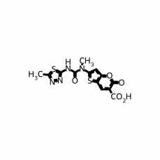 Cc1nnc(NC(=O)N(C)c2cc3oc(=O)c(C(=O)O)cc3s2)s1